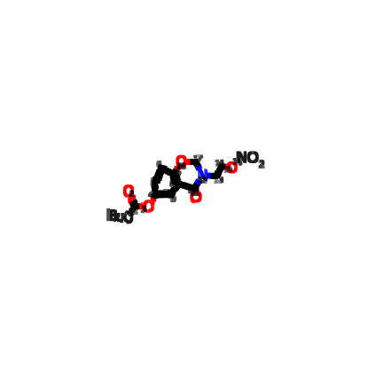 CC(C)COC(=O)Oc1ccc2c(c1)C(=O)N(CCO[N+](=O)[O-])CO2